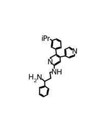 CC(C)c1cccc(-c2cnc(NCCC(N)c3ccccc3)cc2-c2ccncc2)c1